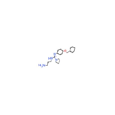 NCCCN/C(=N/c1ccc(OCc2ccccc2)cc1)N1CCCC1